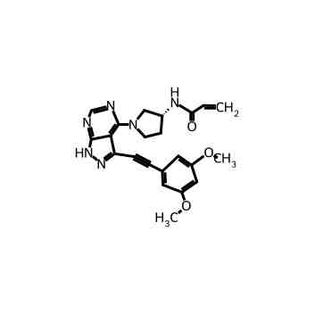 C=CC(=O)N[C@@H]1CCN(c2ncnc3[nH]nc(C#Cc4cc(OC)cc(OC)c4)c23)C1